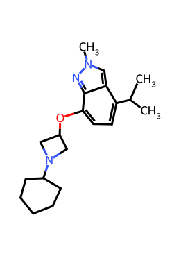 CC(C)c1ccc(OC2CN(C3CCCCC3)C2)c2nn(C)cc12